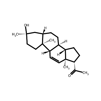 CC(=O)[C@H]1CC[C@H]2[C@@H]3CC[C@H]4C[C@](C)(O)CC[C@]4(C)[C@H]3C=C[C@]12C